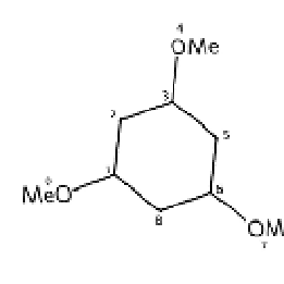 COC1CC(OC)CC(OC)C1